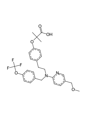 COCc1ccc(N(CCc2ccc(OC(C)(C)C(=O)O)cc2)Cc2ccc(OC(F)(F)F)cc2)nc1